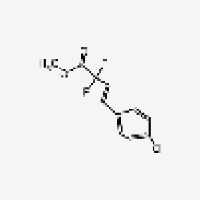 COC(=O)C(F)(F)/C=C/c1ccc(Cl)cc1